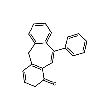 O=C1CC=CC2=C1C=C(c1ccccc1)c1ccccc1C2